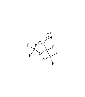 F.O=C(O)C(F)(OC(F)(F)F)C(F)(F)F